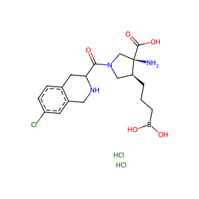 Cl.Cl.N[C@]1(C(=O)O)CN(C(=O)C2Cc3ccc(Cl)cc3CN2)C[C@@H]1CCCB(O)O